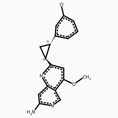 COc1cc([C@H]2C[C@@H]2c2cccc(Cl)c2)nc2cc(N)ncc12